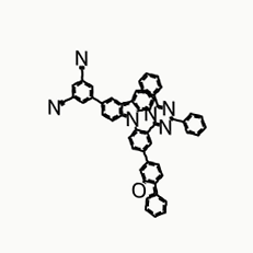 N#Cc1cc(C#N)cc(-c2ccc3c(c2)c2ccccc2n3-c2ccc(-c3ccc4c(c3)oc3ccccc34)cc2-c2nc(-c3ccccc3)nc(-c3ccccc3)n2)c1